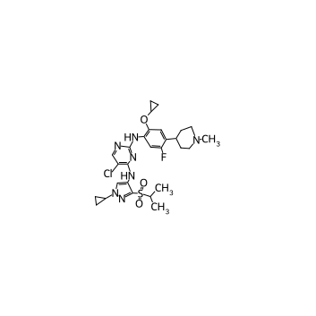 CC(C)S(=O)(=O)c1nn(C2CC2)cc1Nc1nc(Nc2cc(F)c(C3CCN(C)CC3)cc2OC2CC2)ncc1Cl